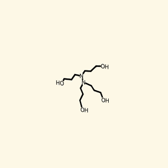 OCCCN(CCCO)N(CCCO)CCCO